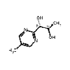 Cc1cnc([C@H](O)[C@@H](C)O)nc1